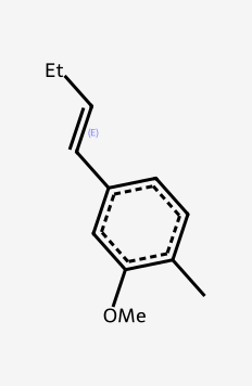 CC/C=C/c1ccc(C)c(OC)c1